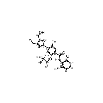 CCc1nc(-c2cc(OC(C)C(F)(F)F)c(C(=O)Nc3c(F)cccc3Cl)cc2F)sc1CO